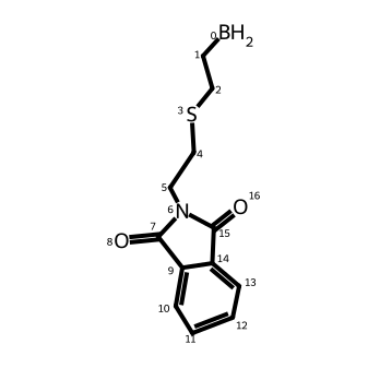 BCCSCCN1C(=O)c2ccccc2C1=O